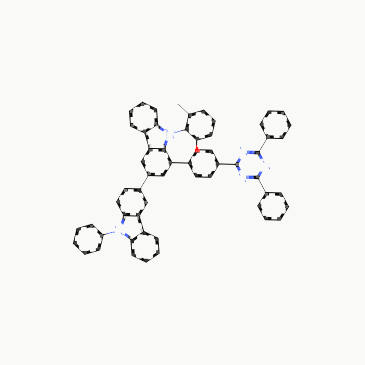 Cc1cccc(C)c1-n1c2ccccc2c2cc(-c3ccc4c(c3)c3ccccc3n4-c3ccccc3)cc(-c3ccc(-c4nc(-c5ccccc5)nc(-c5ccccc5)n4)cc3)c21